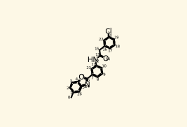 Cc1ccc2oc(-c3cccc(NC(=O)Cc4cccc(Cl)c4)c3)nc2c1